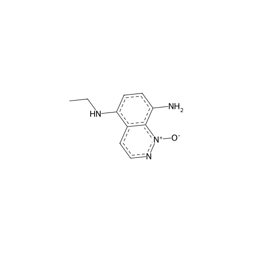 CCNc1ccc(N)c2c1ccn[n+]2[O-]